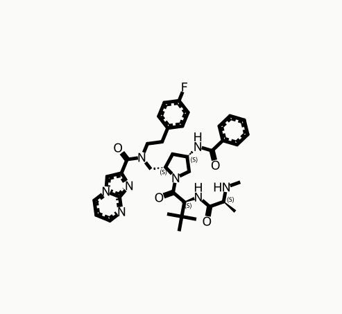 CN[C@@H](C)C(=O)N[C@H](C(=O)N1C[C@@H](NC(=O)c2ccccc2)C[C@H]1CN(CCc1ccc(F)cc1)C(=O)c1cn2cccnc2n1)C(C)(C)C